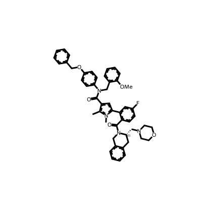 COc1ccccc1CN(C(=O)c1cc(-c2cc(F)ccc2C(=O)N2Cc3ccccc3C[C@H]2CN2CCOCC2)n(C)c1C)c1ccc(OCc2ccccc2)cc1